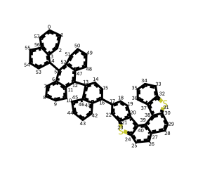 c1ccc2c(-c3c4ccccc4c(-c4ccc(-c5ccc6c(c5)sc5ccc7ccc8sc9ccccc9c8c7c56)c5ccccc45)c4ccccc34)cccc2c1